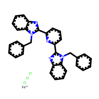 [Cl-].[Cl-].[Cl-].[Fe+3].c1ccc(Cn2c(-c3cccc(-c4nc5ccccc5n4Cc4ccccc4)n3)nc3ccccc32)cc1